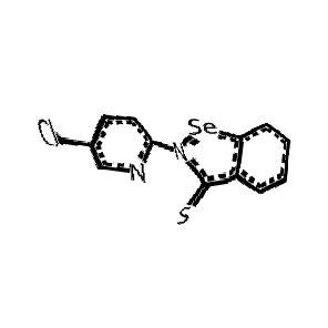 S=c1c2ccccc2[se]n1-c1ccc(Cl)cn1